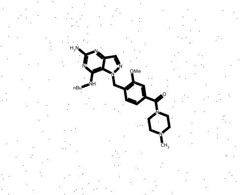 CCCCNc1nc(N)nc2cnn(Cc3ccc(C(=O)N4CCN(C)CC4)cc3OC)c12